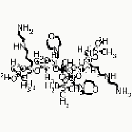 [2H]O[Si](C)(C)O[Si](C)(CCCNCCN)O[Si](C)(C)O[SiH](CN1CCOCC1)OC(C)(C)O[Si](CN1CCOCC1)(O[Si](B)(C)C)O[Si](C)(C)O[Si](C)(CCCNCCN)O[Si](C)(C)O[2H]